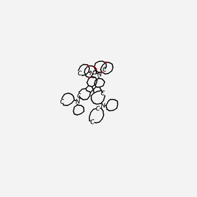 C1CCCCCC(N(C2CCCCCCCCC2)C2CCCCC3CC(CCC2)C2CCCC(N(C4CCCCCCCCC4)C4CCCCCCCCC4)CCC2C32C3CCCC(N(C4CCCCCCCCC4)C4CCCCCCCC4)CCCC(C3)C3CCC(N(C4CCCCCCCCC4)C4CCCCCCCC4)CCCC32)CCCCC1